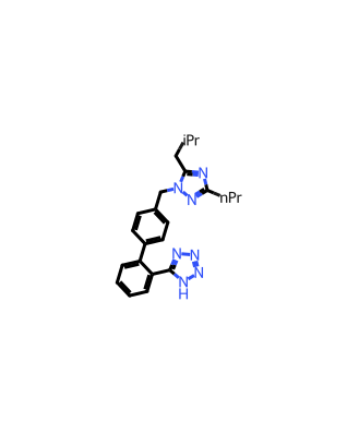 CCCc1nc(CC(C)C)n(Cc2ccc(-c3ccccc3-c3nnn[nH]3)cc2)n1